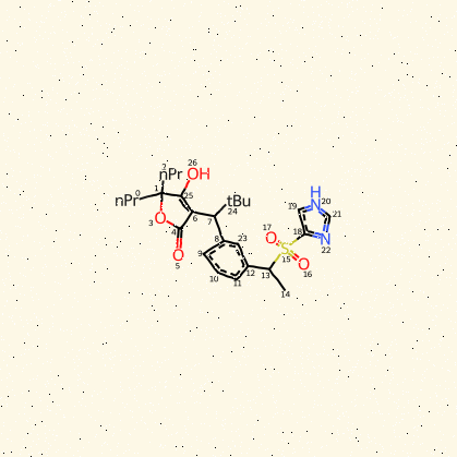 CCCC1(CCC)OC(=O)C(C(c2cccc(C(C)S(=O)(=O)c3c[nH]cn3)c2)C(C)(C)C)=C1O